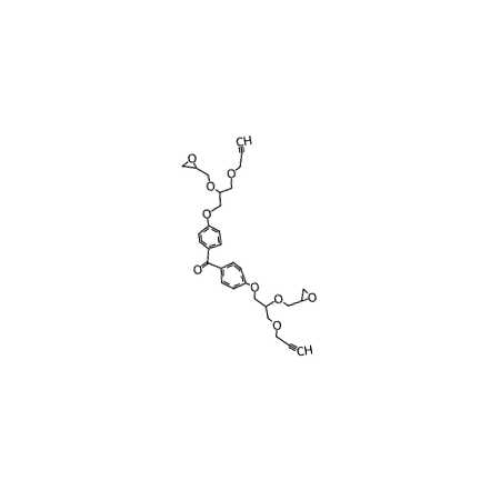 C#CCOCC(COc1ccc(C(=O)c2ccc(OCC(COCC#C)OCC3CO3)cc2)cc1)OCC1CO1